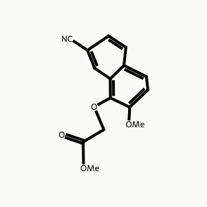 COC(=O)COc1c(OC)ccc2ccc(C#N)cc12